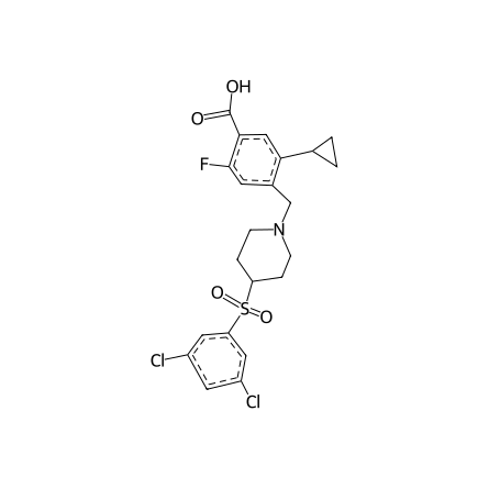 O=C(O)c1cc(C2CC2)c(CN2CCC(S(=O)(=O)c3cc(Cl)cc(Cl)c3)CC2)cc1F